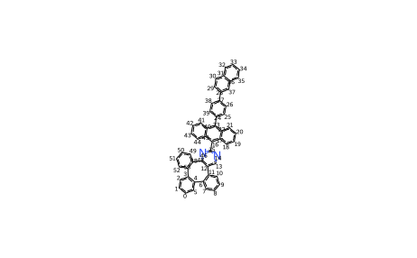 c1ccc2c(c1)-c1ccccc1-c1cnc(-c3c4ccccc4c(-c4ccc(-c5ccc6ccccc6c5)cc4)c4ccccc34)nc1-c1ccccc1-2